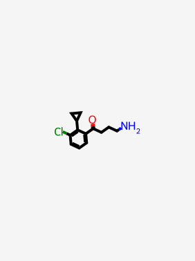 NCCCC(=O)c1cccc(Cl)c1C1CC1